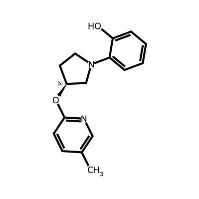 Cc1ccc(O[C@H]2CCN(c3ccccc3O)C2)nc1